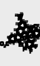 CCOc1cc(C(=O)O)ccc1N(Cc1cc(C2CC2)cc(C2CC2)c1)C(=O)CN(Cc1ccccc1C(F)(F)F)S(=O)(=O)c1cc(F)c(F)c(F)c1F